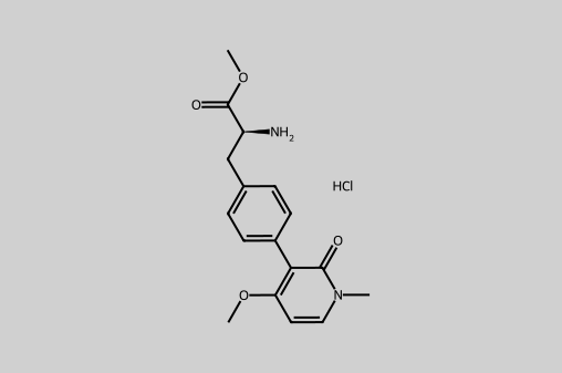 COC(=O)[C@@H](N)Cc1ccc(-c2c(OC)ccn(C)c2=O)cc1.Cl